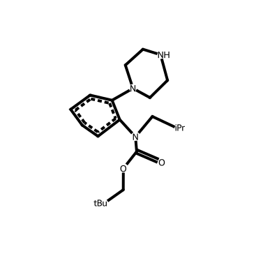 CC(C)CN(C(=O)OCC(C)(C)C)c1ccccc1N1CCNCC1